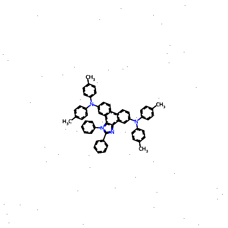 Cc1ccc(N(c2ccc(C)cc2)c2ccc3c4ccc(N(c5ccc(C)cc5)c5ccc(C)cc5)cc4c4c(nc(-c5ccccc5)n4-c4ccccc4)c3c2)cc1